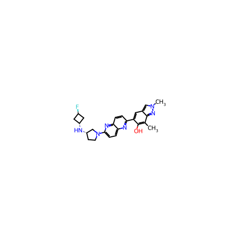 Cc1c(O)c(-c2ccc3nc(N4CC[C@H](N[C@H]5C[C@H](F)C5)C4)ccc3n2)cc2cn(C)nc12